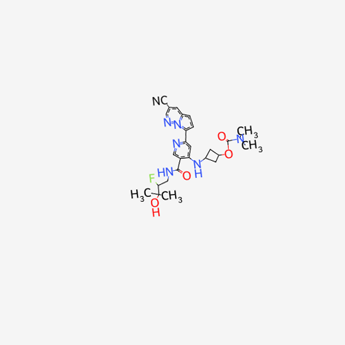 CN(C)C(=O)OC1CC(Nc2cc(-c3ccc4cc(C#N)cnn34)ncc2C(=O)NCC(F)C(C)(C)O)C1